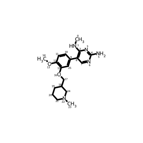 CNc1nc(N)ncc1-c1ccc(OC)c(OCC2CCCN(C)C2)c1